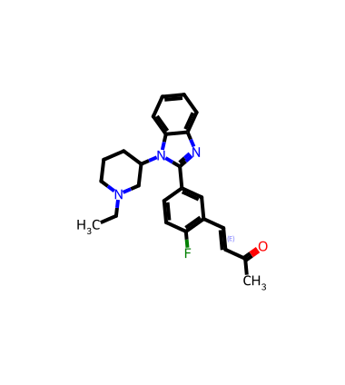 CCN1CCCC(n2c(-c3ccc(F)c(/C=C/C(C)=O)c3)nc3ccccc32)C1